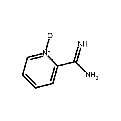 N=C(N)c1cccc[n+]1[O-]